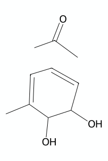 CC(C)=O.CC1=CC=CC(O)C1O